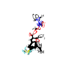 [2H]C([2H])([2H])c1cc(S(F)(F)(F)(F)F)cc2c1OC(C(F)(F)F)C(C(=O)OCON=[N+]([O-])N(C)CC(=O)O)=C2